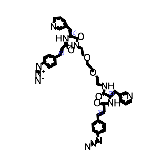 [N-]=[N+]=Nc1ccc(/C=C/C(=O)N/C(=C\c2cccnc2)C(=O)NCCOCCOCCNC(=O)/C(=C/c2cccnc2)NC(=O)/C=C/c2ccc(N=[N+]=[N-])cc2)cc1